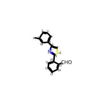 Cc1cccc(-c2csc(-c3ccccc3C=O)n2)c1